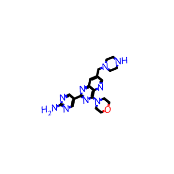 Nc1ncc(-c2nc(N3CCOCC3)c3ncc(CN4CCNCC4)cc3n2)cn1